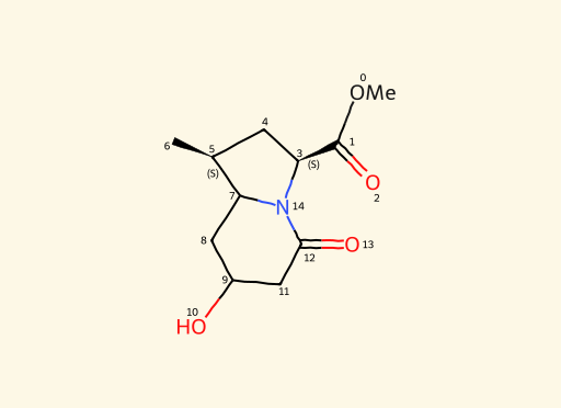 COC(=O)[C@@H]1C[C@H](C)C2CC(O)CC(=O)N21